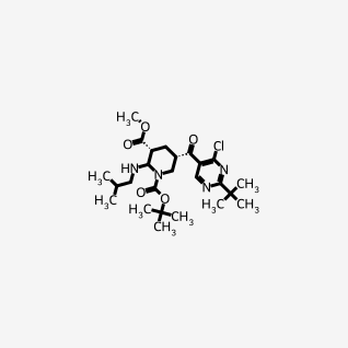 COC(=O)[C@@H]1C[C@H](C(=O)c2cnc(C(C)(C)C)nc2Cl)CN(C(=O)OC(C)(C)C)C1NCC(C)C